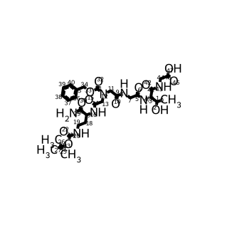 CC(O)[C@H](NC(=O)CNC(=O)CN(CC(=O)NC(CCNC(=O)OC(C)(C)C)C(N)=O)C(=O)OCc1ccccc1)C(=O)NCC(=O)O